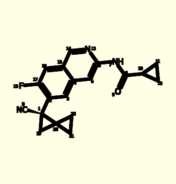 N#C[C@@]1(c2cc3cc(NC(=O)C4CC4)ncc3cc2F)CC12CC2